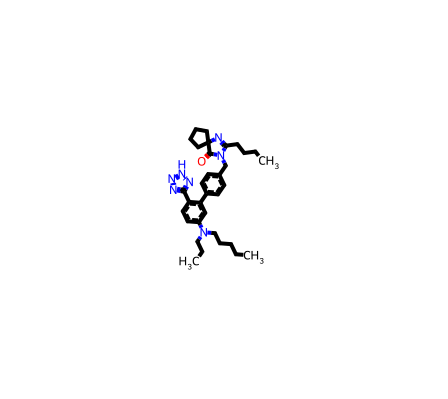 CCCCCN(CCC)c1ccc(-c2nn[nH]n2)c(-c2ccc(CN3C(=O)C4(CCCC4)N=C3CCCC)cc2)c1